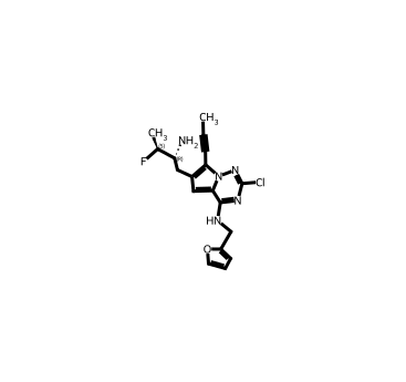 CC#Cc1c(C[C@@H](N)[C@H](C)F)cc2c(NCc3ccco3)nc(Cl)nn12